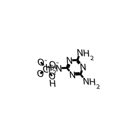 Nc1nc(N)nc(N)n1.[O-][Cl+3]([O-])([O-])O